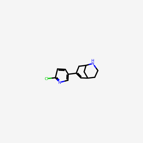 Clc1ccc(C2=CC3CCNC(C2)C3)cn1